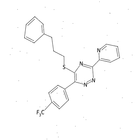 FC(F)(F)c1ccc(-c2nnc(-c3ccccn3)nc2SCCCc2ccccc2)cc1